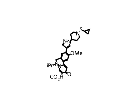 COc1cc2c(cc1-c1cnn(C3CCN(SC4CC4)CC3)c1)CN(C(C)C)n1cc(C(=O)O)c(=O)cc1-2